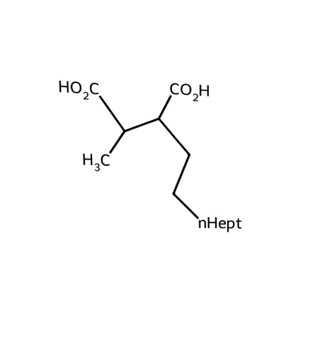 CCCCCCCCCC(C(=O)O)C(C)C(=O)O